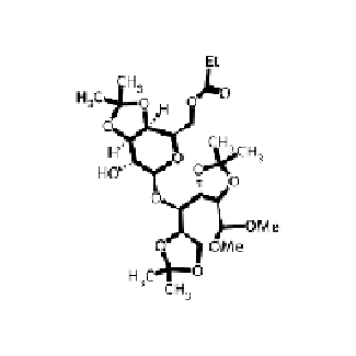 CCC(=O)OC[C@H]1O[C@@H](O[C@@H]([C@@H]2OC(C)(C)O[C@H]2C(OC)OC)[C@H]2COC(C)(C)O2)[C@H](O)[C@H]2OC(C)(C)O[C@H]21